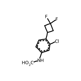 O=C(O)Nc1ccc(C2CC(F)(F)C2)c(Cl)c1